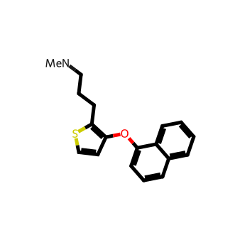 CNCCCc1sccc1Oc1cccc2ccccc12